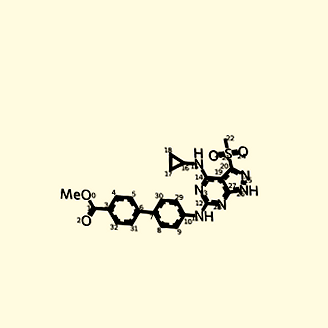 COC(=O)c1ccc(-c2ccc(Nc3nc(NC4CC4)c4c(S(C)(=O)=O)n[nH]c4n3)cc2)cc1